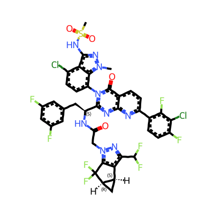 Cn1nc(NS(C)(=O)=O)c2c(Cl)ccc(-n3c([C@H](Cc4cc(F)cc(F)c4)NC(=O)Cn4nc(C(F)F)c5c4C(F)(F)[C@@H]4C[C@H]54)nc4nc(-c5ccc(F)c(Cl)c5F)ccc4c3=O)c21